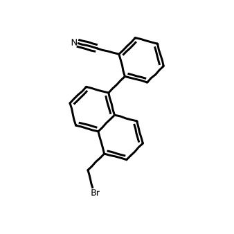 N#Cc1ccccc1-c1cccc2c(CBr)cccc12